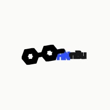 CCCCNCc1ccc(-c2ccccc2)cc1